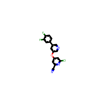 N#Cc1cc(Oc2cncc(-c3ccc(F)c(F)c3)c2)cc(Cl)n1